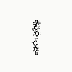 CCc1cnc(N2CCC(COc3ccc(N4CCN(S(C)(=O)=O)CC4=O)nc3)CC2)nc1